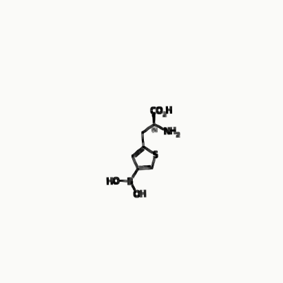 N[C@@H](Cc1cc(B(O)O)cs1)C(=O)O